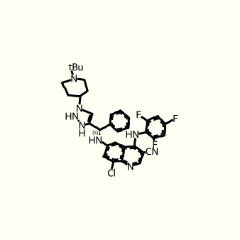 CC(C)(C)N1CCC(N2C=C([C@@H](Nc3cc(Cl)c4ncc(C#N)c(Nc5c(F)cc(F)cc5F)c4c3)c3ccccc3)NN2)CC1